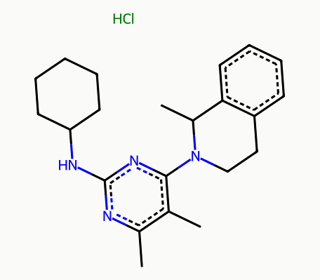 Cc1nc(NC2CCCCC2)nc(N2CCc3ccccc3C2C)c1C.Cl